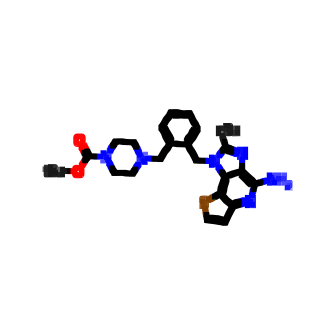 CCCCc1nc2c(N)nc3ccsc3c2n1Cc1ccccc1CN1CCN(C(=O)OC(C)(C)C)CC1